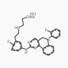 COCCNCCc1cc(Nc2ncc3c(n2)-c2ccccc2[C@H](c2ccccc2F)C3)ccc1F.Cl